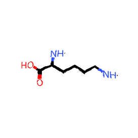 [NH]CCCCC([NH])C(=O)O